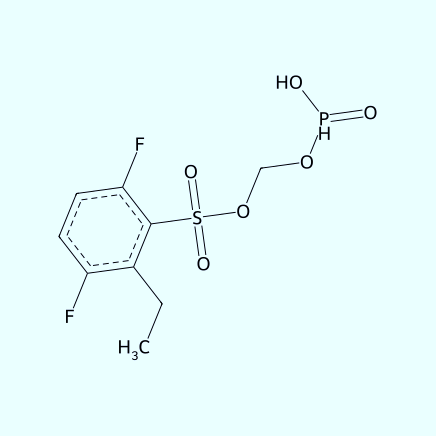 CCc1c(F)ccc(F)c1S(=O)(=O)OCO[PH](=O)O